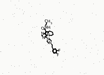 CCCNC(=O)c1c2n(c3c(N4CCN(CCc5ccc(F)c(F)c5)CC4)ncnc13)CCCC2